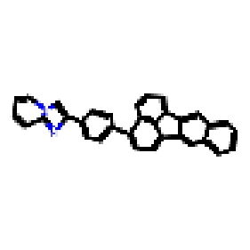 c1ccc2cc3c(cc2c1)-c1cccc2c(-c4ccc(-c5cn6ccccc6n5)cc4)ccc-3c12